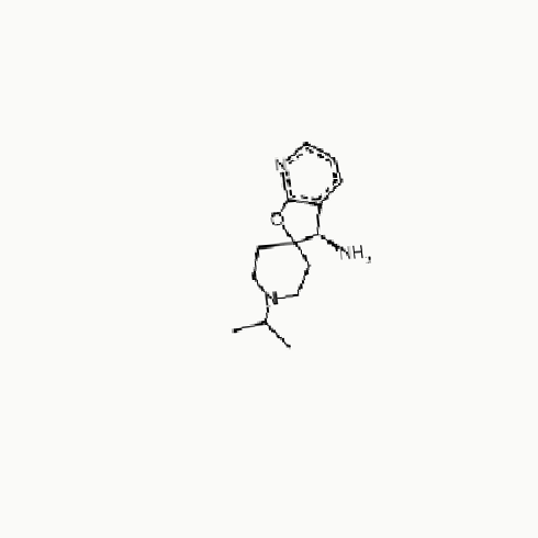 CC(C)N1CCC2(CC1)Oc1ncccc1[C@H]2N